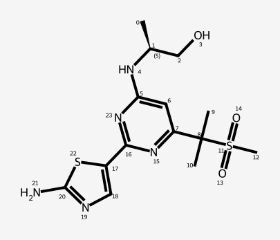 C[C@@H](CO)Nc1cc(C(C)(C)S(C)(=O)=O)nc(-c2cnc(N)s2)n1